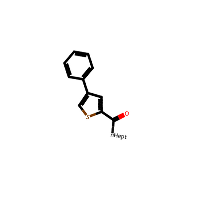 CCCCCCCC(=O)c1cc(-c2ccccc2)cs1